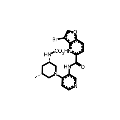 C[C@@H]1C[C@H](NC(=O)O)CN(c2ccncc2NC(=O)c2ccc3occ(Br)c3n2)C1